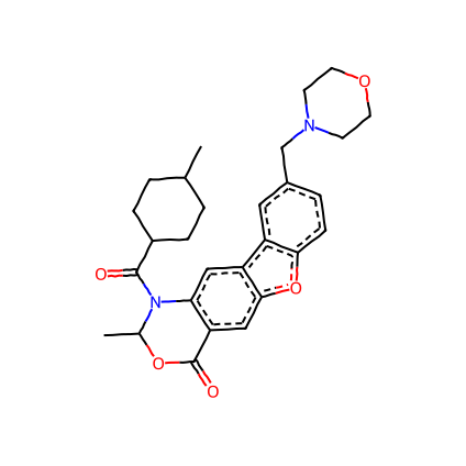 CC1CCC(C(=O)N2c3cc4c(cc3C(=O)OC2C)oc2ccc(CN3CCOCC3)cc24)CC1